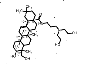 CC1(C)CC[C@]2(C(=O)NCCCN(CCO)CCO)CC[C@]3(C)C(=CC[C@@H]4[C@@]5(C)CC[C@H](O)[C@@](C)(CO)C5CC[C@]43C)[C@H]2C1